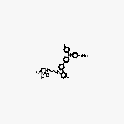 CCCCc1ccc(N(c2ccc(C)cc2)c2ccc(-c3ccc4c(c3)c3cc(C)ccc3n4CCCCn3ccc(=O)[nH]c3=O)cc2)cc1